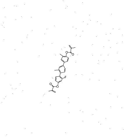 C=C(C)C(=O)Oc1ccc(-c2ccc(-c3ccc(OC(=O)C(=C)C)c(C)c3)cc2C)c(F)c1